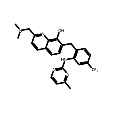 Cc1ccnc(Nc2cc(C(F)(F)F)ccc2Cc2ccc3ccc(CN(C)C)nc3c2O)n1